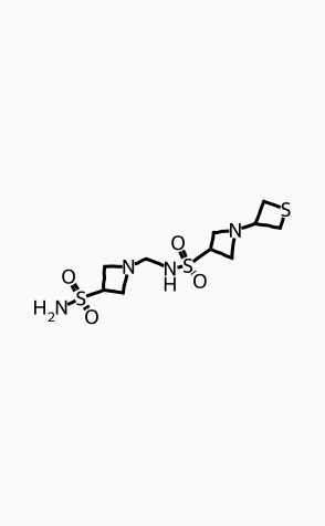 NS(=O)(=O)C1CN(CNS(=O)(=O)C2CN(C3CSC3)C2)C1